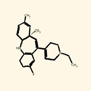 CCN1CC=C(C2=C[C@]3(C)C=C(C)C=CC3NC3=C2C=C(F)CC3)CC1